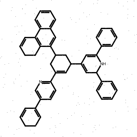 C1=CC(c2ccc(C3=CC(C4=CC(c5ccccc5)NC(c5ccccc5)=C4)CC(c4cc5ccccc5c5c4CCC=C5)C3)nc2)=CCC1